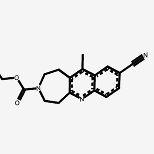 CCOC(=O)N1CCc2nc3ccc(C#N)cc3c(C)c2CC1